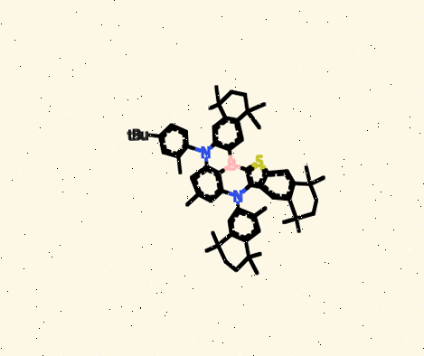 Cc1cc2c3c(c1)N(c1cc4c(cc1C)C(C)(C)CCC4(C)C)c1c(sc4cc5c(cc14)C(C)(C)CCC5(C)C)B3c1cc3c(cc1N2c1ccc(C(C)(C)C)cc1C)C(C)(C)CCC3(C)C